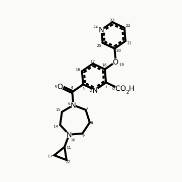 O=C(O)c1nc(C(=O)N2CCCN(C3CC3)CC2)ccc1Oc1cccnc1